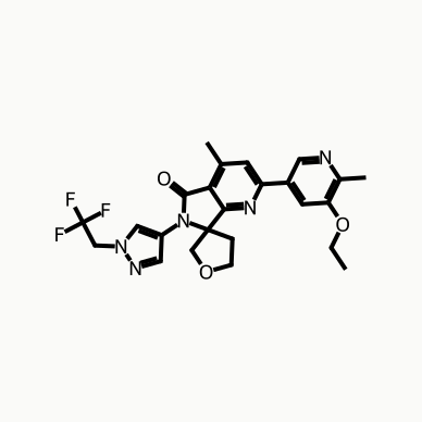 CCOc1cc(-c2cc(C)c3c(n2)C2(CCOC2)N(c2cnn(CC(F)(F)F)c2)C3=O)cnc1C